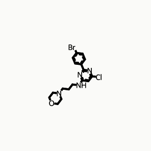 Clc1cc(NCCCN2CCOCC2)nc(-c2ccc(Br)cc2)n1